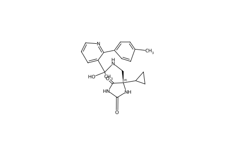 Cc1ccc(-c2ncccc2C(C)(O)NC[C@@]2(C3CC3)NC(=O)NC2=O)cc1